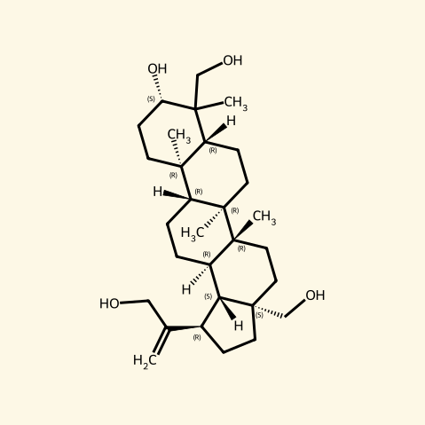 C=C(CO)[C@@H]1CC[C@]2(CO)CC[C@]3(C)[C@H](CC[C@@H]4[C@@]5(C)CC[C@H](O)C(C)(CO)[C@@H]5CC[C@]43C)[C@@H]12